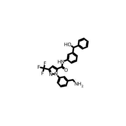 NCc1cccc(-n2nc(C(F)(F)F)cc2C(=O)Nc2cccc(C(O)c3ccccc3)c2)c1